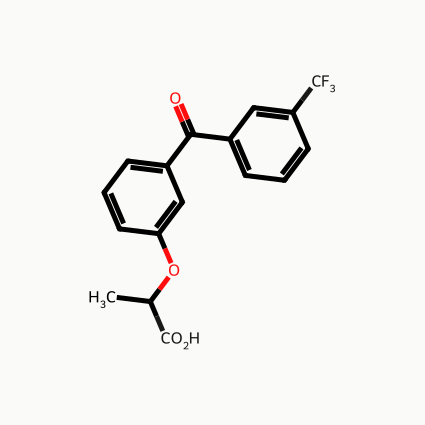 CC(Oc1cccc(C(=O)c2cccc(C(F)(F)F)c2)c1)C(=O)O